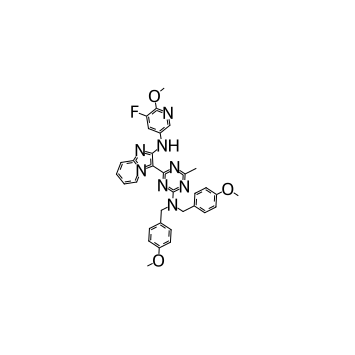 COc1ccc(CN(Cc2ccc(OC)cc2)c2nc(C)nc(-c3c(Nc4cnc(OC)c(F)c4)nc4ccccn34)n2)cc1